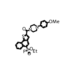 CCOP(=O)(F)c1cc2cc(C(=O)N3CCN(c4ccc(OC)cc4)CC3)sc2c2ccccc12